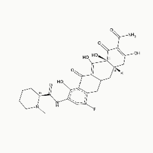 CN1CCCC[C@H]1C(=O)Nc1cc(F)c2c(c1O)C(=O)C1=C(O)[C@]3(O)C(=O)C(C(N)=O)=C(O)C[C@@H]3CC1C2